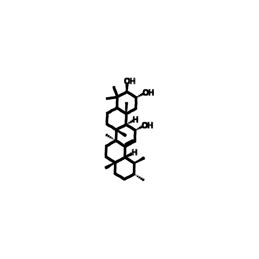 C[C@H]1[C@H](C)CC[C@]2(C)CC[C@]3(C)C(=C[C@@H](O)[C@@H]4[C@@]5(C)C[C@@H](O)[C@H](O)C(C)(C)C5CC[C@]43C)[C@H]12